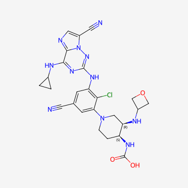 N#Cc1cc(Nc2nc(NC3CC3)c3ncc(C#N)n3n2)c(Cl)c(N2CC[C@H](NC(=O)O)[C@H](NC3COC3)C2)c1